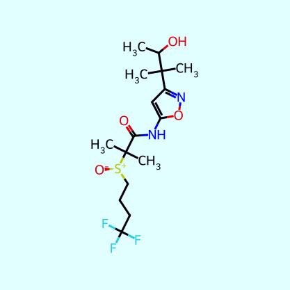 CC(O)C(C)(C)c1cc(NC(=O)C(C)(C)[S@+]([O-])CCCC(F)(F)F)on1